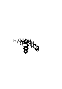 CNC(=O)c1c[nH]c2nc(NCCN3CCOCC3)nc(-c3ccc4c(c3)CCC4)c2c1=O